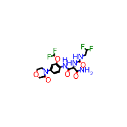 NC(=O)[C@H](NC(=O)NCC(F)F)C(=O)Nc1ccc(N2CCOCC2=O)cc1OC(F)F